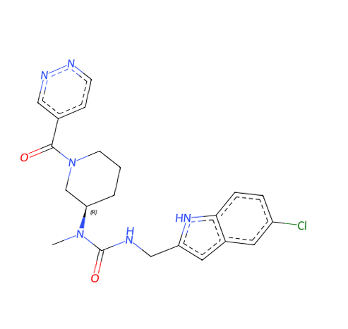 CN(C(=O)NCc1cc2cc(Cl)ccc2[nH]1)[C@@H]1CCCN(C(=O)c2ccnnc2)C1